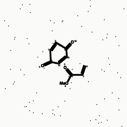 C=CC(=O)OC.O=C1C=CC(=O)C=C1